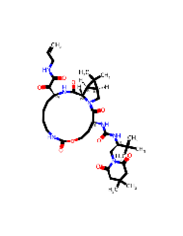 C=CCNC(=O)C(=O)[C@@H]1CCCCNC(=O)OCC[C@H](NC(=O)N[C@H](CN2C(=O)CC(C)(C)CC2=O)C(C)(C)C)C(=O)N2C[C@H]3[C@@H]([C@H]2C(=O)N1)C3(C)C